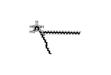 CCCCCCC#CCCCCCCCC[C@@H](CO[C@H]1O[C@H](CO)[C@H](O)[C@H](O)[C@H]1O)OC(=O)CCCCCCCCCCCCCCCCCCCCCCCCC